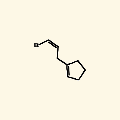 CC/C=C\CC1=CCCC1